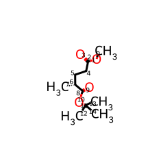 COC(=O)CC[C@@H](C)C(=O)OC(C)(C)C